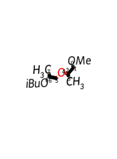 COCC(C)OCC(C)OCC(C)C